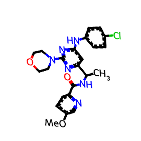 COc1ccc(C(=O)NC(C)c2cc(Nc3ccc(Cl)cc3)nc(N3CCOCC3)n2)nc1